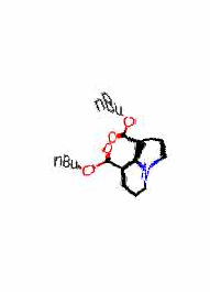 CCCCOC(=O)c1ccn2c1C(C(=O)OCCCC)CCC2